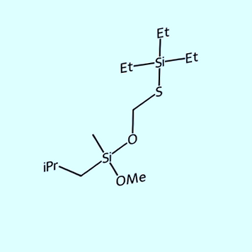 CC[Si](CC)(CC)SCO[Si](C)(CC(C)C)OC